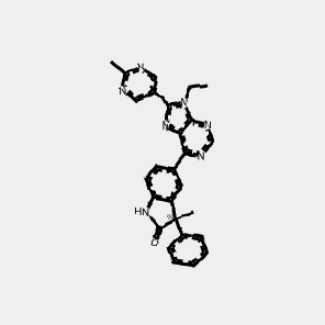 CCn1c(-c2cnc(C)nc2)nc2c(-c3ccc4c(c3)[C@](C)(c3ccccc3)C(=O)N4)ncnc21